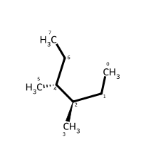 CC[C@@H](C)[C@H](C)CC